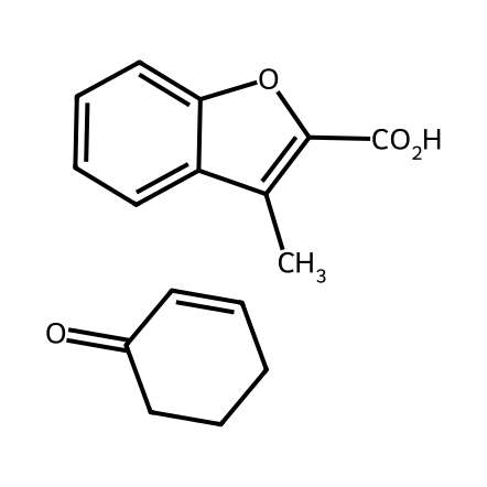 Cc1c(C(=O)O)oc2ccccc12.O=C1C=CCCC1